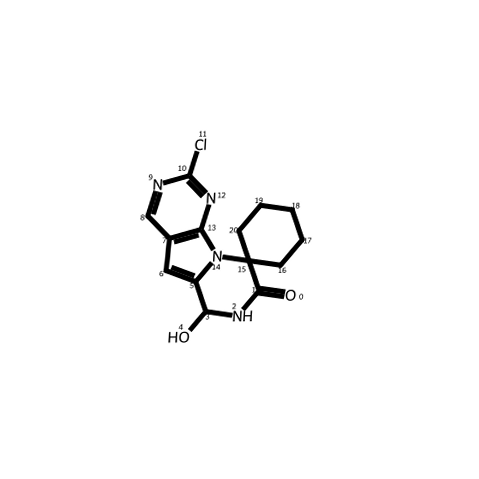 O=C1NC(O)c2cc3cnc(Cl)nc3n2C12CCCCC2